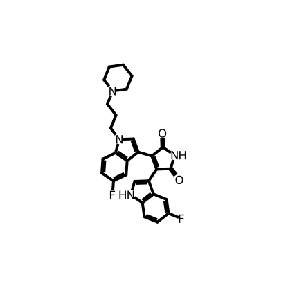 O=C1NC(=O)C(c2cn(CCCN3CCCCC3)c3ccc(F)cc23)=C1c1c[nH]c2ccc(F)cc12